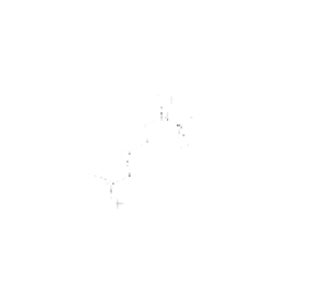 CN(CCOCC(=O)O)C(=O)F